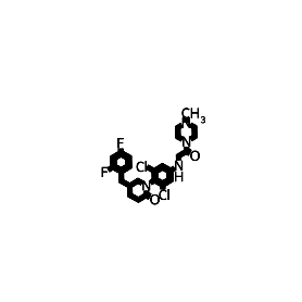 CN1CCN(C(=O)CNc2cc(Cl)c(N3CC(Cc4ccc(F)cc4F)CCC3=O)c(Cl)c2)CC1